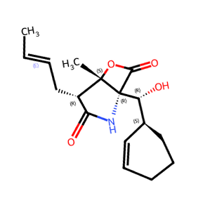 C/C=C/C[C@H]1C(=O)N[C@@]2([C@H](O)[C@@H]3C=CCCC3)C(=O)O[C@@]12C